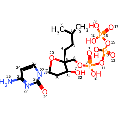 CC(C)CC[C@]1(COP(=O)(O)OP(=O)(O)OP(=O)(O)O)O[C@@H](n2ccc(N)nc2=O)C[C@@H]1O